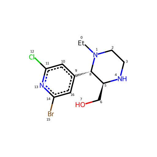 CCN1CCN[C@@H](CO)[C@@H]1c1cc(Cl)nc(Br)c1